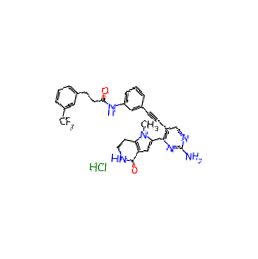 Cl.Cn1c(-c2nc(N)ncc2C#Cc2cccc(NC(=O)CCc3cccc(C(F)(F)F)c3)c2)cc2c1CCNC2=O